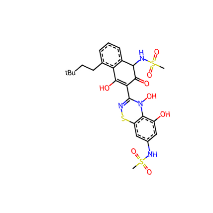 CC(C)(C)CCc1cccc2c1C(O)=C(C1=NSc3cc(NS(C)(=O)=O)cc(O)c3N1O)C(=O)C2NS(C)(=O)=O